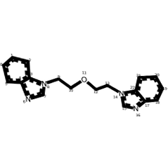 c1ccc2c(c1)ncn2CCOCCn1cnc2ccccc21